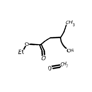 C=O.CCOC(=O)CC(C)O